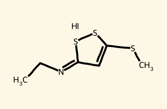 CCN=c1cc(SC)ss1.I